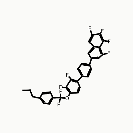 CCCc1ccc(C(F)(F)Oc2ccc(-c3ccc(-c4cc(F)c5c(F)c(F)c(F)cc5c4)cc3)c(F)c2F)cc1